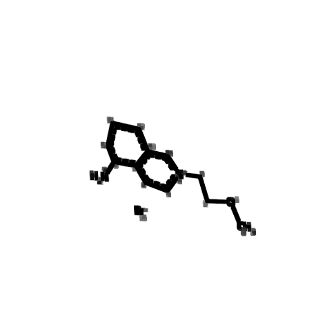 COCC[n+]1ccc2c(N)cccc2c1.[Br-]